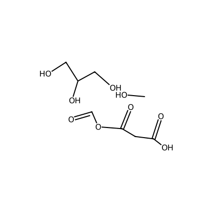 CO.O=COC(=O)CC(=O)O.OCC(O)CO